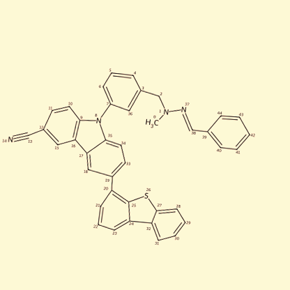 CN(Cc1cccc(-n2c3ccc(C#N)cc3c3cc(-c4cccc5c4sc4ccccc45)ccc32)c1)/N=C/c1ccccc1